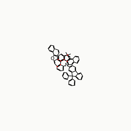 CC1(C)c2cccc(-c3ccccc3N(c3ccc4c(c3)C(c3ccccc3)(c3ccccc3)c3ccccc3-4)c3ccccc3-c3cccc4oc5c6ccccc6ccc5c34)c2-c2ccc3ccccc3c21